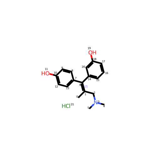 C/C(CN(C)C)=C(\c1ccc(O)cc1)c1cccc(O)c1.Cl